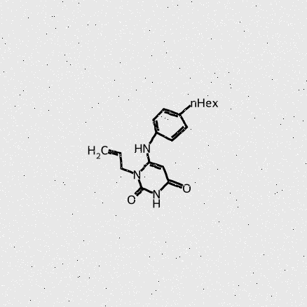 C=CCn1c(Nc2ccc(CCCCCC)cc2)cc(=O)[nH]c1=O